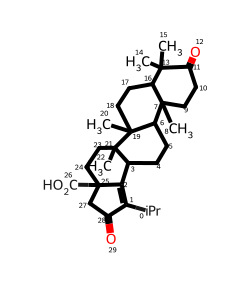 CC(C)C1=C2C3CCC4C5(C)CCC(=O)C(C)(C)C5CCC4(C)C3(C)CCC2(C(=O)O)CC1=O